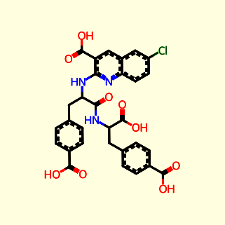 O=C(O)c1ccc(CC(NC(=O)C(Cc2ccc(C(=O)O)cc2)Nc2nc3ccc(Cl)cc3cc2C(=O)O)C(=O)O)cc1